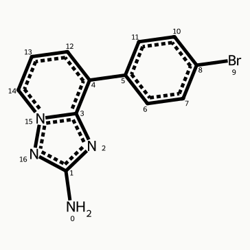 Nc1nc2c(-c3ccc(Br)cc3)cccn2n1